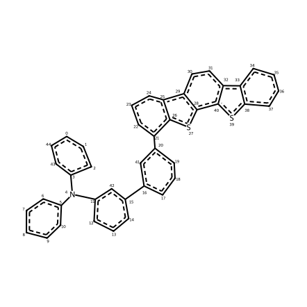 c1ccc(N(c2ccccc2)c2cccc(-c3cccc(-c4cccc5c4sc4c5ccc5c6ccccc6sc54)c3)c2)cc1